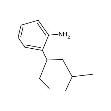 CCC(CC(C)C)c1ccccc1N